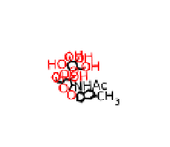 CC(=O)NC1C(Oc2ccc3cc(C)ccc3c2)OC(CO)C(OC2OC(CO)C(O)C(O)C2O)C1O